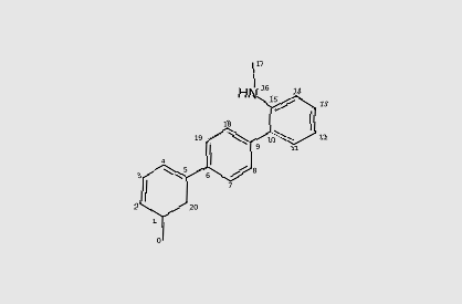 CC1C=CC=C(c2ccc(-c3ccccc3NI)cc2)C1